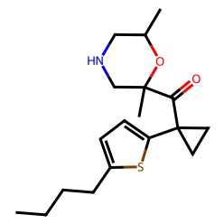 CCCCc1ccc(C2(C(=O)C3(C)CNCC(C)O3)CC2)s1